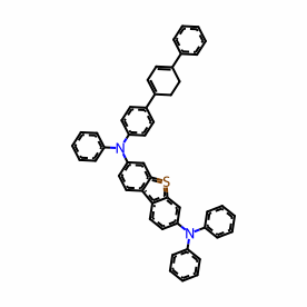 C1=C(c2ccccc2)CCC(c2ccc(N(c3ccccc3)c3ccc4c(c3)sc3cc(N(c5ccccc5)c5ccccc5)ccc34)cc2)=C1